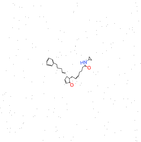 O=C(CCC/C=C\C[C@H]1C(=O)C=C[C@@H]1/C=C/CCCc1ccccc1)NC1CC1